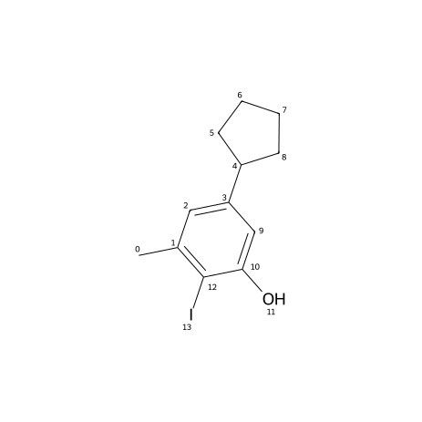 Cc1cc(C2CCCC2)cc(O)c1I